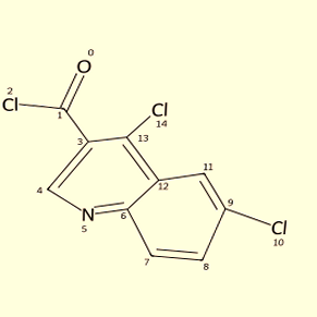 O=C(Cl)c1cnc2ccc(Cl)cc2c1Cl